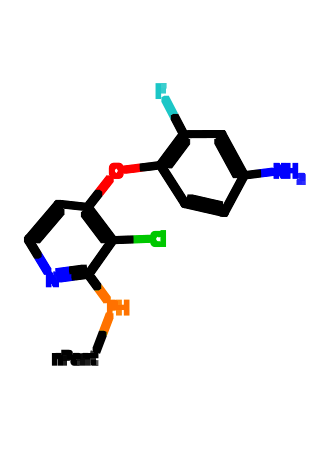 CCCCCPc1nccc(Oc2ccc(N)cc2F)c1Cl